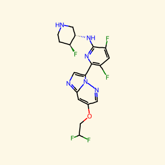 Fc1cc(F)c(-c2cnc3cc(OCC(F)F)cnn23)nc1N[C@H]1CNCC[C@@H]1F